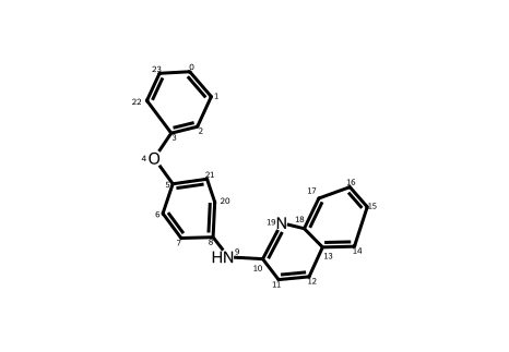 c1ccc(Oc2ccc(Nc3ccc4ccccc4n3)cc2)cc1